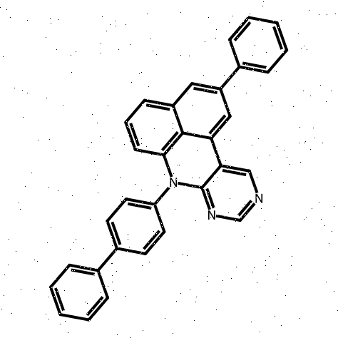 c1ccc(-c2ccc(N3c4ncncc4-c4cc(-c5ccccc5)cc5cccc3c45)cc2)cc1